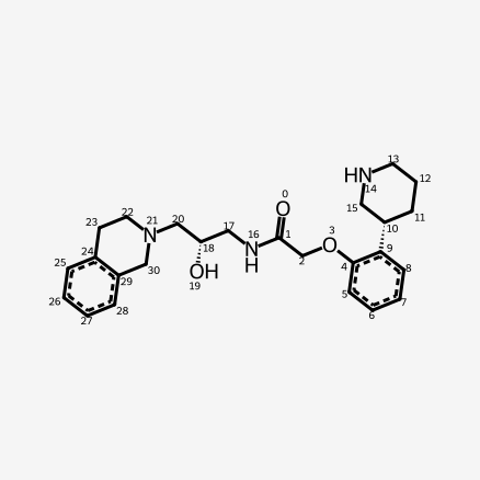 O=C(COc1ccccc1[C@H]1CCCNC1)NC[C@H](O)CN1CCc2ccccc2C1